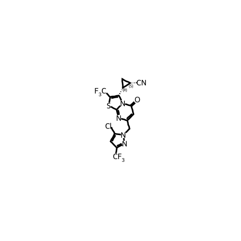 N#C[C@H]1C[C@H]1c1c(C(F)(F)F)sc2nc(Cn3nc(C(F)(F)F)cc3Cl)cc(=O)n12